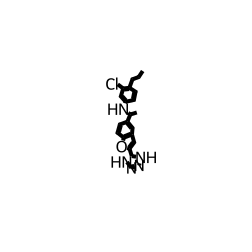 CCCc1ccc(NC(C)c2ccc3oc(C4NN=NN4)cc3c2)cc1Cl